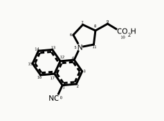 N#Cc1ccc(N2CCC(CC(=O)O)C2)c2ccccc12